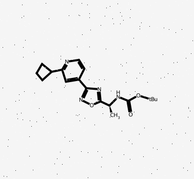 C[C@H](NC(=O)OC(C)(C)C)c1nc(-c2ccnc(C3CCC3)c2)no1